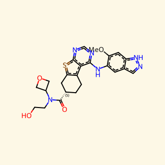 COc1cc2[nH]ncc2cc1Nc1ncnc2sc3c(c12)CC[C@H](C(=O)N(CCO)C1COC1)C3